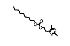 CCCCCCCCCOC(=O)OCCc1nc(C)sc1C